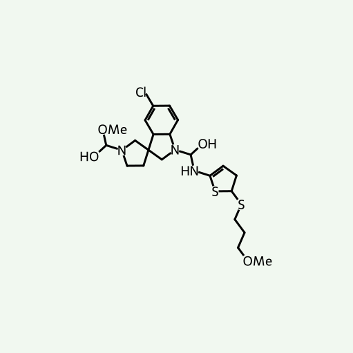 COCCCSC1CC=C(NC(O)N2CC3(CCN(C(O)OC)C3)C3C=C(Cl)C=CC32)S1